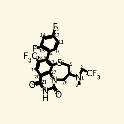 CN(CC(F)(F)F)C1CSc2c(-c3ccc(F)cc3F)c(C(F)(F)F)cc3c(=O)[nH]c(=O)n(c23)C1